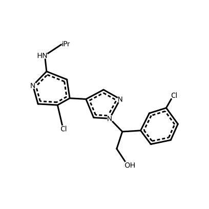 CC(C)Nc1cc(-c2cnn(C(CO)c3cccc(Cl)c3)c2)c(Cl)cn1